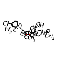 CC(=O)N1CC2CC(c3ccc(OCCOc4ccc(Cl)cc4C)cc3)=C(C(=O)O)C(C1)N2C(=O)OC(C)(C)C(Cl)(Cl)Cl